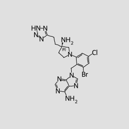 Nc1ncnc2c1ncn2Cc1c(Br)cc(Cl)cc1N1CC[C@](N)(CCc2nn[nH]n2)C1